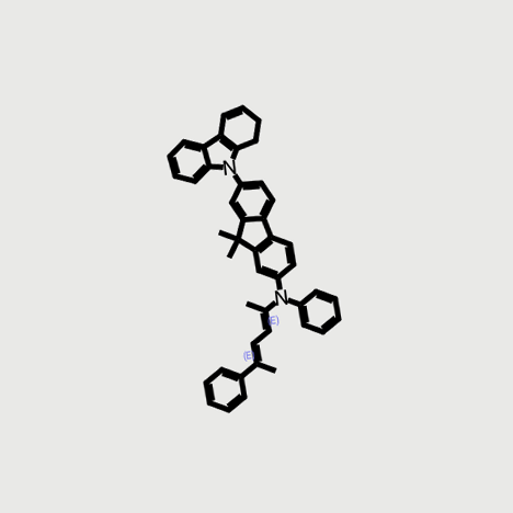 C/C(=C\C=C(/C)N(c1ccccc1)c1ccc2c(c1)C(C)(C)c1cc(-n3c4c(c5ccccc53)C=CCC4)ccc1-2)c1ccccc1